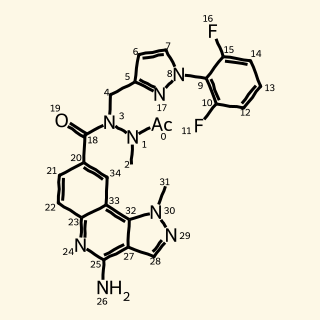 CC(=O)N(C)N(Cc1ccn(-c2c(F)cccc2F)n1)C(=O)c1ccc2nc(N)c3cnn(C)c3c2c1